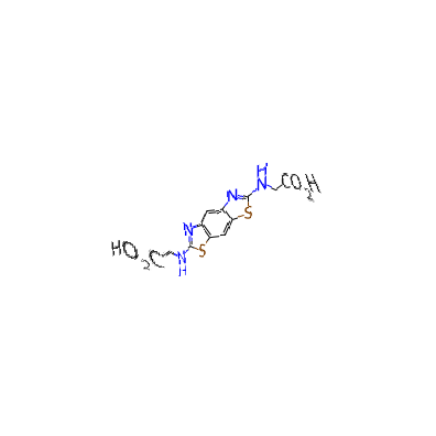 O=C(O)CNc1nc2cc3nc(NCC(=O)O)sc3cc2s1